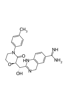 Cc1ccc(N2CCO[C@H]([C@@H](O)C3=NCc4cc(C(=N)N)ccc4N3)C2=O)cc1